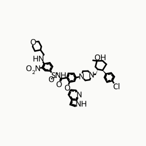 CC1(O)CC[C@@H](c2ccc(Cl)cc2)[C@H](CN2CCN(c3ccc(C(=O)N[S+]([O-])c4ccc(NCC5CCOCC5)c([N+](=O)[O-])c4)c(Oc4cnc5[nH]ccc5c4)c3)CC2)C1